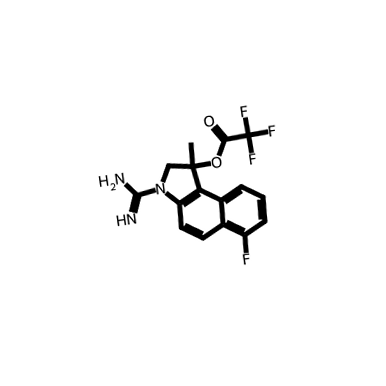 CC1(OC(=O)C(F)(F)F)CN(C(=N)N)c2ccc3c(F)cccc3c21